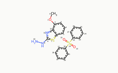 COc1cccc2sc(NN)nc12.O=S(=O)(c1ccccc1)c1ccccc1